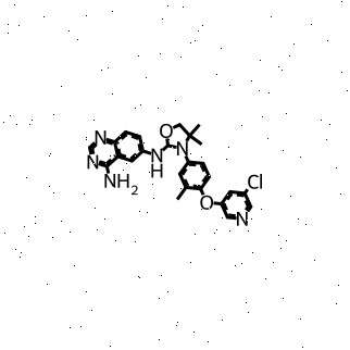 Cc1cc(N2C(Nc3ccc4ncnc(N)c4c3)OCC2(C)C)ccc1Oc1cncc(Cl)c1